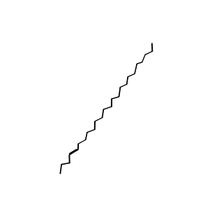 [CH2]CCCCCCCCCCCCCCCCCCC=CCCC